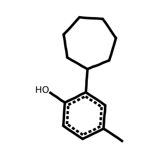 Cc1ccc(O)c(C2CCCCCC2)c1